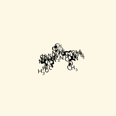 CCCCc1nn(-c2nc(OC)nc(-n3nc(CCCC)c(/N=N/c4c(C(=O)OCC)cnn4C)c3N)n2)c(N)c1/N=N/c1c(C(=O)OCC)cnn1C